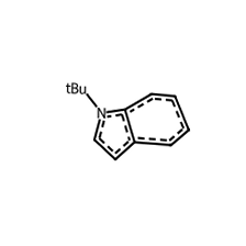 CC(C)(C)n1ccc2ccccc21